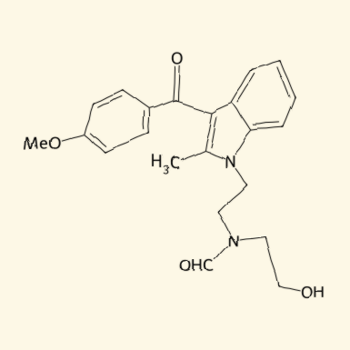 COc1ccc(C(=O)c2c(C)n(CCN(C=O)CCO)c3ccccc23)cc1